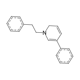 C1=CC(c2ccccc2)=CN(CCc2ccccc2)C1